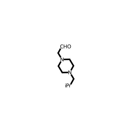 CC(C)CN1CCN(CC=O)CC1